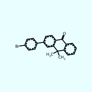 CC1(C)c2ccccc2C(=O)c2ccc(-c3ccc(Br)cc3)cc21